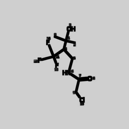 CC(C)(O)C(CNC(=O)CCl)C(F)(F)F